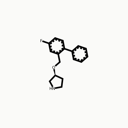 Fc1ccc(-c2ccccc2)c(CO[C@H]2CCNC2)c1